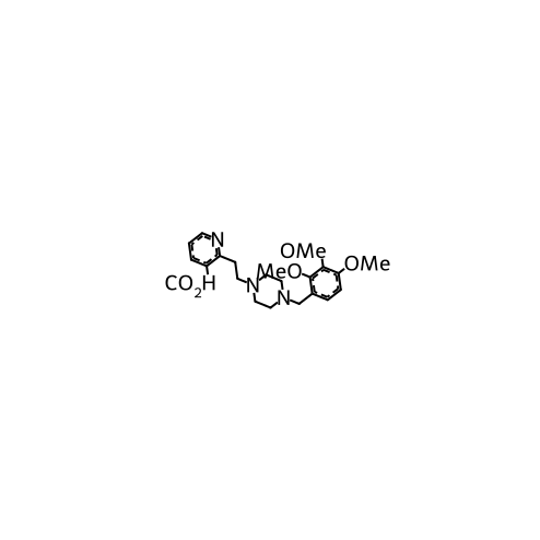 COc1ccc(CN2CCN(CCc3ncccc3C(=O)O)CC2)c(OC)c1OC